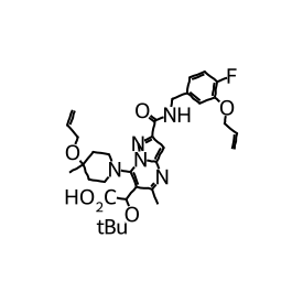 C=CCOc1cc(CNC(=O)c2cc3nc(C)c(C(OC(C)(C)C)C(=O)O)c(N4CCC(C)(OCC=C)CC4)n3n2)ccc1F